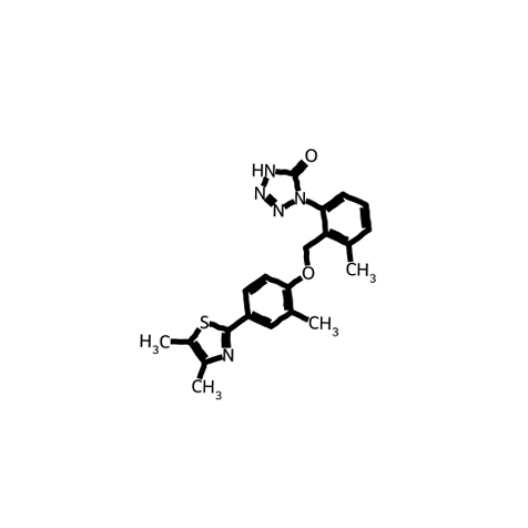 Cc1cc(-c2nc(C)c(C)s2)ccc1OCc1c(C)cccc1-n1nn[nH]c1=O